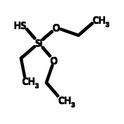 CCO[Si](S)(CC)OCC